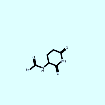 CC(C)C(=O)NC1CCC(=O)NC1=O